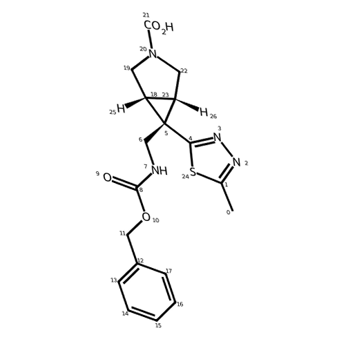 Cc1nnc([C@]2(CNC(=O)OCc3ccccc3)[C@@H]3CN(C(=O)O)C[C@@H]32)s1